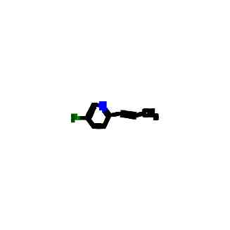 CC#Cc1ccc(F)cn1